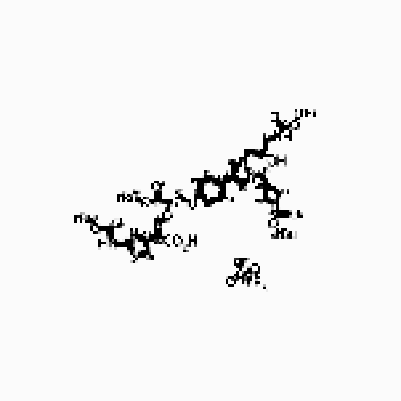 CC(C)(C)OC(=O)NC[C@H](O)Cn1cc(-c2ccc(OC[C@H](O/N=C(\C(=O)O)c3csc(NC(=O)OC(C)(C)C)n3)C(=O)OC(C)(C)C)cc2)c[n+]1CC1CN(C(=O)OC(C)(C)C)C1.O=S(=O)([O-])C(F)(F)F